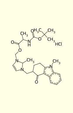 CC(NC(=O)OC(C)(C)C)C(=O)OCN1C=CN(CC2CCc3c(c4ccccc4n3C)C2=O)C1C.Cl